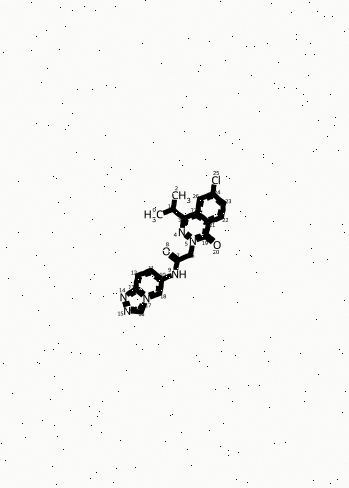 CC(C)c1nn(CC(=O)Nc2ccc3nncn3c2)c(=O)c2ccc(Cl)cc12